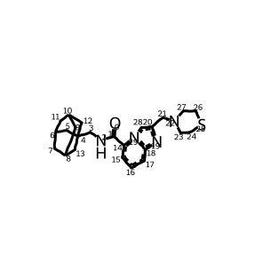 O=C(NCC12CC3CC(CC(C3)C1)C2)c1cccc2nc(CN3CCSCC3)cn12